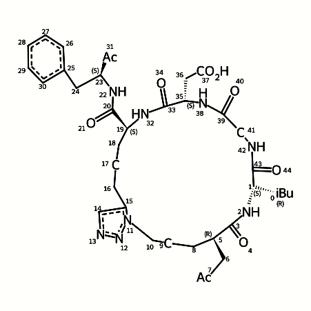 CC[C@@H](C)[C@@H]1NC(=O)[C@@H](CC(C)=O)CCCn2nncc2CCC[C@@H](C(=O)N[C@@H](Cc2ccccc2)C(C)=O)NC(=O)[C@H](CC(=O)O)NC(=O)CNC1=O